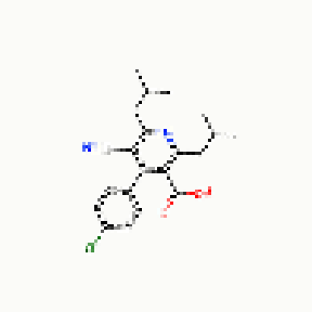 CC(C)Cc1nc(CC(C)C)c(C(=O)O)c(-c2ccc(Cl)cc2)c1C#N